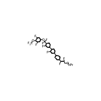 CCCOC/C(F)=C(\F)c1ccc(-c2ccc(-c3ccc(C(F)(F)Oc4cc(F)c(OC(F)(F)F)c(F)c4)c(F)c3)c(F)c2)cc1